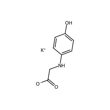 O=C([O-])CNc1ccc(O)cc1.[K+]